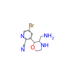 N#Cc1ncc(Br)cc1C1OCCNC1CN